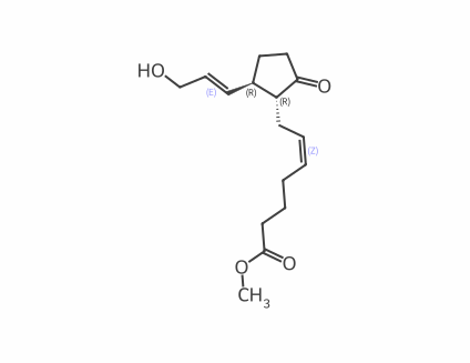 COC(=O)CCC/C=C\C[C@H]1C(=O)CC[C@@H]1/C=C/CO